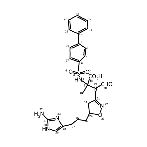 CC(NS(=O)(=O)c1ccc(-c2ccccc2)cc1)(C(=O)O)N(C=O)C1=NOC(CCCc2c[nH]c(N)n2)C1